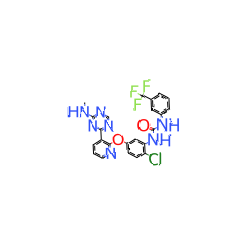 CNc1ncnc(-c2cccnc2Oc2ccc(Cl)c(NC(=O)Nc3cccc(C(F)(F)F)c3)c2)n1